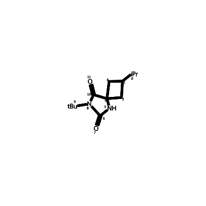 CC(C)C1CC2(C1)NC(=O)N(C(C)(C)C)C2=O